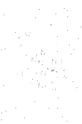 CO[C@H](c1ncc(Cl)cn1)[C@H](C)S(=O)(=O)Nc1nnc([C@H]2COCCO2)n1C1(C2CC2)CC1